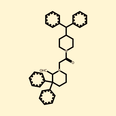 O=CC1N(CC(=O)N2CCC(C(c3ccccc3)c3ccccc3)CC2)CCCC1(c1ccccc1)c1ccccc1